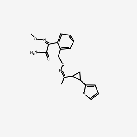 CO/N=C(\C(N)=O)c1ccccc1CO/N=C(/C)C1CC1c1cccs1